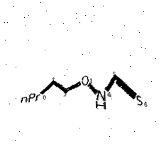 CCCCCON[C]=S